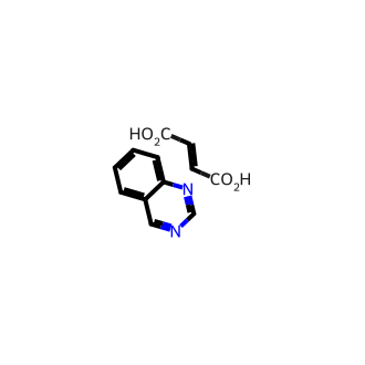 O=C(O)C=CC(=O)O.c1ccc2ncncc2c1